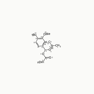 CCCCCCCCCCC(=O)OC(O[SiH](C)C)c1ccc(C(C)(C)C)c(OC)c1